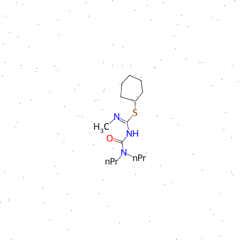 CCCN(CCC)C(=O)NC(=NC)SC1CCCCC1